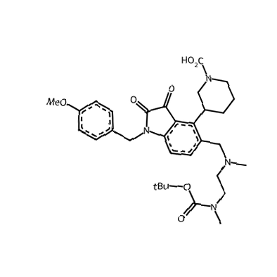 COc1ccc(CN2C(=O)C(=O)c3c2ccc(CN(C)CCN(C)C(=O)OC(C)(C)C)c3C2CCCN(C(=O)O)C2)cc1